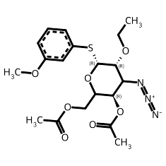 CCO[C@@H]1C(N=[N+]=[N-])[C@@H](OC(C)=O)C(COC(C)=O)O[C@@H]1Sc1cccc(OC)c1